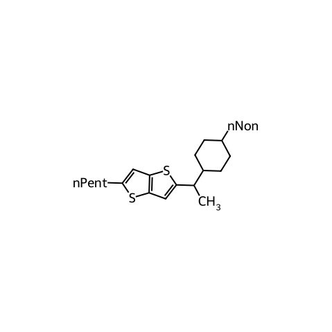 CCCCCCCCCC1CCC(C(C)c2cc3sc(CCCCC)cc3s2)CC1